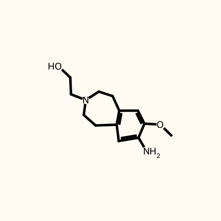 COc1cc2c(cc1N)CCN(CCO)CC2